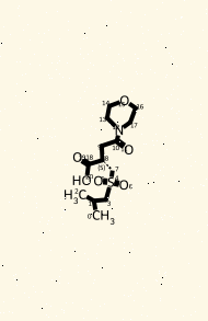 CC(C)CS(=O)(=O)C[C@@H](CC(=O)N1CCOCC1)C(=O)O